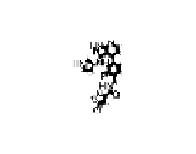 O=C(NCc1ccc(-c2ccnc3[nH]nc(N[C@@H]4CCNC4)c23)cc1F)c1cc(Cl)on1